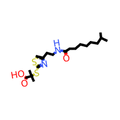 CC(C)CCCCCCC(=O)NCCc1csc(SC(C)(C)C(=O)O)n1